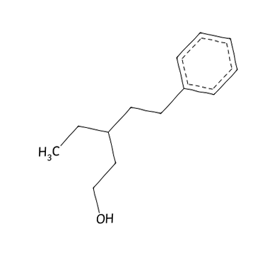 CCC(CCO)CCc1ccccc1